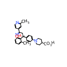 Cc1cc(/C(C[C@@H](c2ccc(N3CCC(C(=O)O)CC3)cc2)c2ccccc2C)=N/O)ccn1